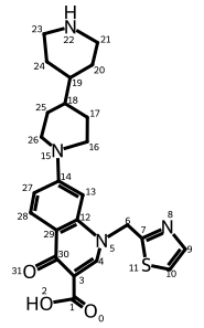 O=C(O)c1cn(Cc2nccs2)c2cc(N3CCC(C4CCNCC4)CC3)ccc2c1=O